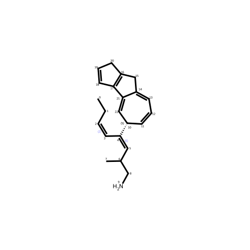 CC/C=C\C(=C/C(C)CN)[C@H]1C=CC=C2CC3=C(C=CC3)C2=C1